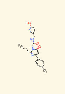 O=C(Cn1c(CCCC(F)(F)F)nc(-c2ccc(C(F)(F)F)cc2)cc1=O)NCc1ccc(O)nc1